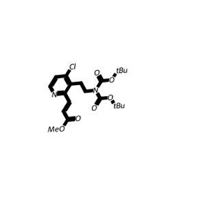 COC(=O)/C=C/c1nccc(Cl)c1CCN(C(=O)OC(C)(C)C)C(=O)OC(C)(C)C